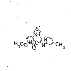 COc1ccc(N2CSC=C2c2c(C)nc3cc(C)ccn23)cc1Cl